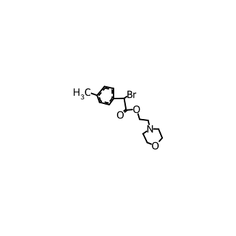 Cc1ccc(C(Br)C(=O)OCCN2CCOCC2)cc1